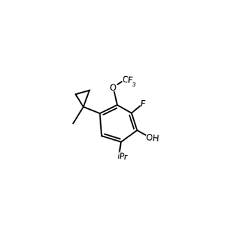 CC(C)c1cc(C2(C)CC2)c(OC(F)(F)F)c(F)c1O